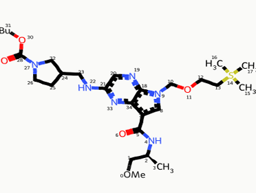 COC[C@H](C)NC(=O)c1cn(COCCS(C)(C)C)c2ncc(NCC3CCN(C(=O)OC(C)(C)C)C3)nc12